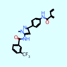 C=CC(=C)C(=O)Nc1ccc(-c2cc(NC(=O)c3cccc(C(F)(F)F)c3)n(C)n2)cc1